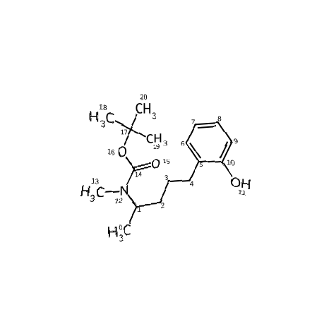 CC(CCCc1ccccc1O)N(C)C(=O)OC(C)(C)C